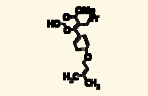 COC(=O)/C(CC(C)C)=C(\OCO)c1ccc(OCC=C(C)C)cc1